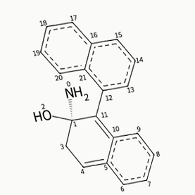 N[C@@]1(O)CC=c2ccccc2=C1c1cccc2ccccc12